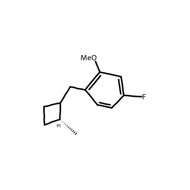 COc1cc(F)ccc1CC1CC[C@H]1C